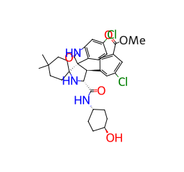 COC(=O)c1cc(Cl)cc([C@H]2[C@H](C(=O)N[C@H]3CC[C@H](O)CC3)NC3(CCC(C)(C)CC3)[C@@]23C(=O)Nc2cc(Cl)ccc23)c1